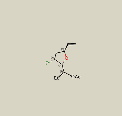 C=C[C@@H]1C[C@@H](F)[C@@H]([C@H](CC)OC(C)=O)O1